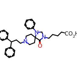 O=C(O)CCCCN1CN(c2ccccc2)C2(CCN(CCC(c3ccccc3)c3ccccc3)CC2)C1=O